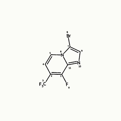 Fc1c(C(F)(F)F)ccn2c(Br)cnc12